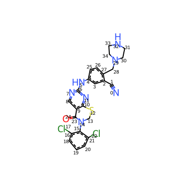 N#Cc1cc(Nc2ncc3c(n2)SCN(c2c(Cl)cccc2Cl)C3=O)ccc1CN1CCNCC1